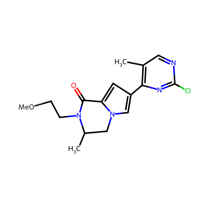 COCCN1C(=O)c2cc(-c3nc(Cl)ncc3C)cn2CC1C